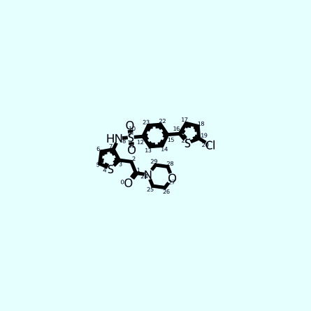 O=C(Cc1sccc1NS(=O)(=O)c1ccc(-c2ccc(Cl)s2)cc1)N1CCOCC1